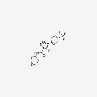 O=C(NC1CCOCC1)c1noc(-c2ccc(C(F)(F)F)cc2)c1Cl